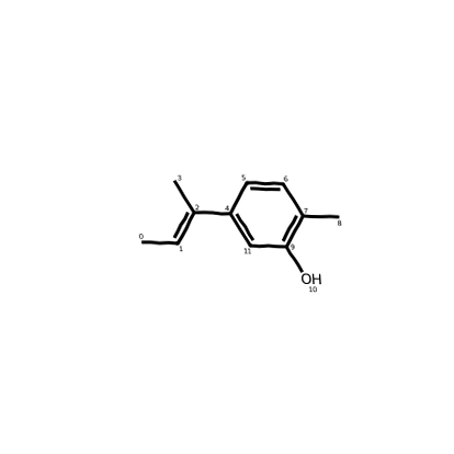 CC=C(C)c1ccc(C)c(O)c1